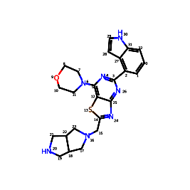 c1cc(-c2nc(N3CCOCC3)c3sc(CN4CC5CNCC5C4)nc3n2)c2cc[nH]c2c1